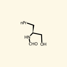 CCCC[C@@H](CO)NC=O